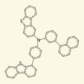 c1cc(-c2cccc3ccccc23)cc(N(c2ccc(-c3cccc4c3sc3ccccc34)cc2)c2ccc3sc4ccccc4c3c2)c1